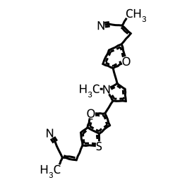 C/C(C#N)=C/c1ccc(-c2ccc(-c3cc4sc(/C=C(/C)C#N)cc4o3)n2C)o1